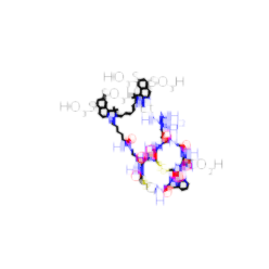 CC[N+]1=C(/C=C/C=C/C=C2/N(CCCCCC(=O)NCCCC[C@@H]3NC(=O)CSC[C@@H](C)NC(=O)[C@H](Cc4ccccc4)NC(=O)[C@@H]4CSSC[C@H](NC3=O)C(=O)N[C@@H](CCCNC(=N)N)C(=O)NCC(=O)N[C@@H](CC(=O)O)C(=O)N4)c3ccc4c(S(=O)(=O)O)cc(S(=O)(=O)O)cc4c3C2(C)C)C(C)(C)c2c1ccc1c(S(=O)(=O)O)cc(S(=O)(=O)O)cc21